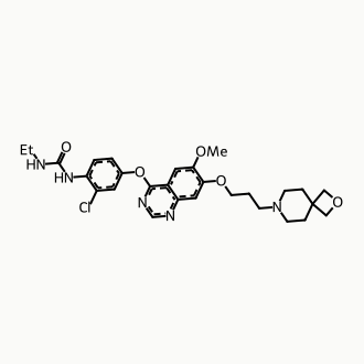 CCNC(=O)Nc1ccc(Oc2ncnc3cc(OCCCN4CCC5(CC4)COC5)c(OC)cc23)cc1Cl